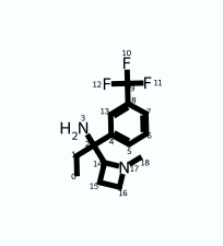 CCC(N)(c1cccc(C(F)(F)F)c1)C1CCN1C